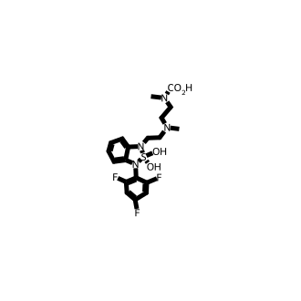 CN(CCN(C)C(=O)O)CCN1c2ccccc2N(c2c(F)cc(F)cc2F)S1(O)O